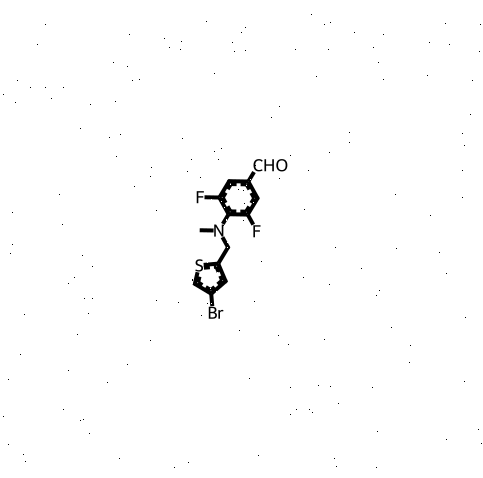 CN(Cc1cc(Br)cs1)c1c(F)cc(C=O)cc1F